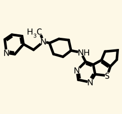 CN(Cc1cccnc1)C1CCC(Nc2ncnc3sc4c(c23)CCC4)CC1